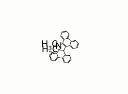 CN1c2c(c3ccccc3c3ccccc23)C2c3ccccc3-c3ccccc3C21C